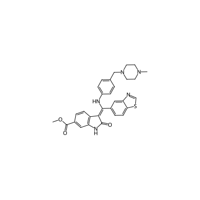 COC(=O)c1ccc2c(c1)NC(=O)C2=C(Nc1ccc(CN2CCN(C)CC2)cc1)c1ccc2scnc2c1